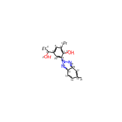 CCC(O)c1cc(C(C)C)c(O)c(-n2nc3ccc(C)cc3n2)c1